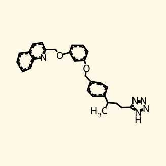 CC(CCc1nnn[nH]1)c1ccc(COc2cccc(OCc3ccc4ccccc4n3)c2)cc1